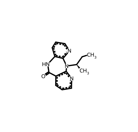 CC[C@@H](C)N1c2ncccc2NC(=O)c2cccnc21